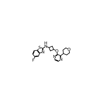 Fc1ccc2sc(NC3CC(Oc4nccnc4C4CCOCC4)C3)nc2c1